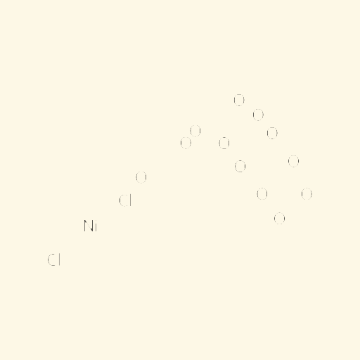 O=O.O=O.O=O.O=O.O=O.O=O.[Cl][Ni][Cl]